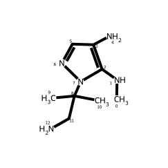 CNc1c(N)cnn1C(C)(C)CN